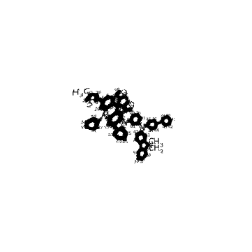 Cc1csc(-c2ccc3c(c2)N(c2ccccc2)c2cc4c5ccccc5n(-c5cccc(N(c6ccc(-c7ccccc7)cc6)c6ccc7c(c6)C(C)(C)c6ccccc6-7)c5)c4cc2C32c3ccoc3-c3occc32)c1